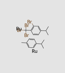 CC(C)c1ccc(C(Br)(Br)Br)c(Br)c1.Cc1ccc(C(C)C)cc1.[Ru].[Ru]